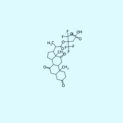 CC(C(=O)OC(CS(=O)(=O)O)(C(F)(F)F)C(F)(F)F)C1CCC2C3C(=O)CC4CC(=O)CCC4(C)C3CC(=O)C12C